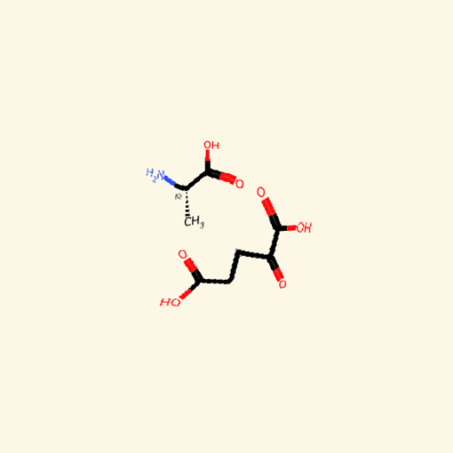 C[C@H](N)C(=O)O.O=C(O)CCC(=O)C(=O)O